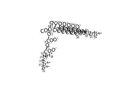 O=C([O-])[O-].O=C([O-])[O-].O=C([O-])[O-].O=C([O-])[O-].O=C([O-])[O-].O=C([O-])[O-].O=C([O-])[O-].O=C([O-])[O-].O=C([O-])[O-].[K+].[K+].[NH2-].[NH4+].[Zr+4].[Zr+4].[Zr+4].[Zr+4]